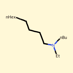 CCCCCCCCCCN(CC)CCCC